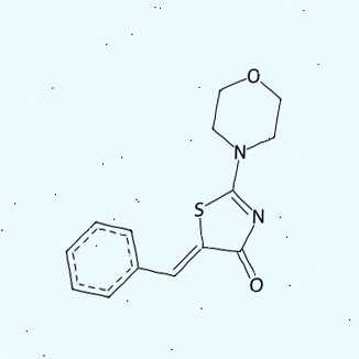 O=C1N=C(N2CCOCC2)S/C1=C\c1ccccc1